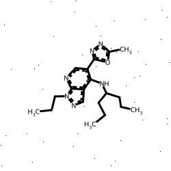 CCCC(CCC)Nc1c(-c2nnc(C)o2)cnc2c1cnn2CCC